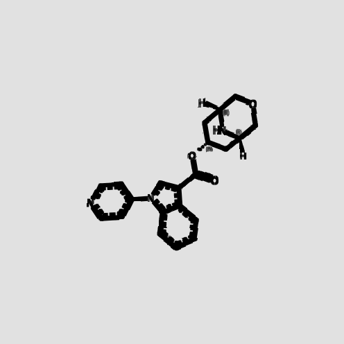 O=C(O[C@H]1C[C@H]2COC[C@@H](C1)N2)c1cn(-c2ccncc2)c2ccccc12